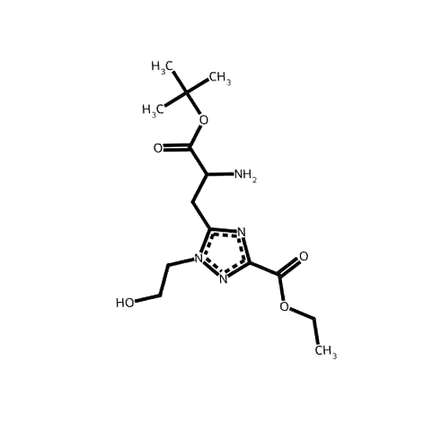 CCOC(=O)c1nc(CC(N)C(=O)OC(C)(C)C)n(CCO)n1